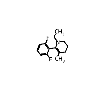 CCN1CCCC(C)=C1c1c(F)cccc1F